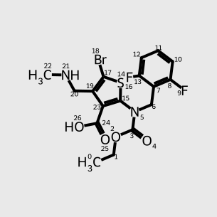 CCOC(=O)N(Cc1c(F)cccc1F)c1sc(Br)c(CNC)c1C(=O)O